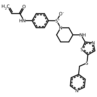 C=CC(=O)Nc1ccc([S+]([O-])N2CCCC(Nc3ncc(SCc4ccncc4)s3)C2)cc1